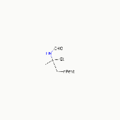 CCCCCCC(C)(CC)NC=O